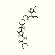 C=C/N=C(/N[C@@H](C)CN1CCN(S(=O)(=O)c2sc(NC(=O)C(CC)CC)nc2C)CC1)c1scc(C)c1C